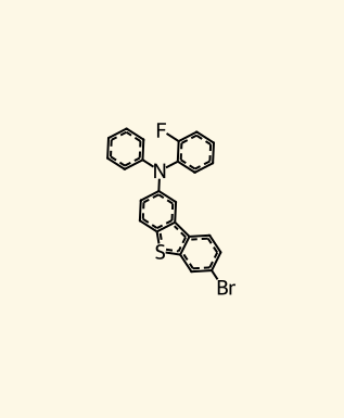 Fc1ccccc1N(c1ccccc1)c1ccc2sc3cc(Br)ccc3c2c1